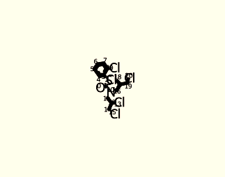 O=C(Sc1ccccc1Cl)N(CC(Cl)CCl)CC(Cl)CCl